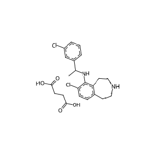 CC(Nc1c(Cl)ccc2c1CCNCC2)c1cccc(Cl)c1.O=C(O)CCC(=O)O